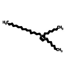 CCCCCCCCCCCCCCCn1cc[n+](CCCCCCC)c1CCCCCCC